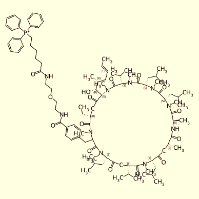 C/C=C/C[C@@H](C)[C@@H](O)[C@H]1C(=O)C[C@@H](CC)C(=O)N(C)C(Cc2ccc(C(=O)NCCOCCNC(=O)CCCCC[P+](c3ccccc3)(c3ccccc3)c3ccccc3)cc2)C(=O)N(C)[C@@H](CC(C)C)C(=O)C[C@@H](C(C)C)C(=O)N(C)[C@@H](CC(C)C)C(=O)C[C@@H](C)C(=O)N[C@H](C)C(=O)N(C)[C@@H](CC(C)C)C(=O)N(C)[C@@H](CC(C)C)C(=O)N(C)[C@@H](C(C)C)C(=O)N1C